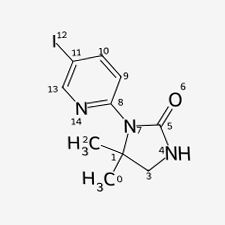 CC1(C)CNC(=O)N1c1ccc(I)cn1